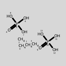 C.C.C.C.O=P(O)(O)O.O=P(O)(O)O